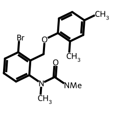 CNC(=O)N(C)c1cccc(Br)c1COc1ccc(C)cc1C